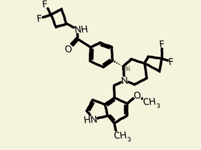 COc1cc(C)c2[nH]ccc2c1CN1CCC2(C[C@H]1c1ccc(C(=O)NC3CC(F)(F)C3)cc1)CC(F)(F)C2